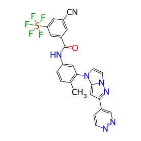 Cc1ccc(NC(=O)c2cc(C#N)cc(S(F)(F)(F)(F)F)c2)cc1-n1ccn2nc(-c3ccnnc3)cc12